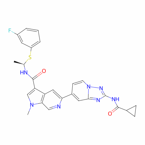 C[C@H](NC(=O)c1cn(C)c2cnc(-c3ccn4nc(NC(=O)C5CC5)nc4c3)cc12)Sc1cccc(F)c1